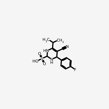 CC(C)C1=C(C#N)C(c2ccc(F)cc2)NC(S(=O)(=O)O)N1